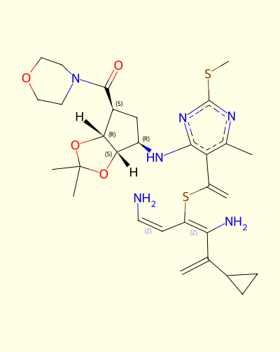 C=C(SC(/C=C\N)=C(\N)C(=C)C1CC1)c1c(C)nc(SC)nc1N[C@@H]1C[C@H](C(=O)N2CCOCC2)[C@H]2OC(C)(C)O[C@H]21